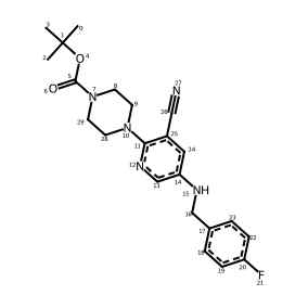 CC(C)(C)OC(=O)N1CCN(c2ncc(NCc3ccc(F)cc3)cc2C#N)CC1